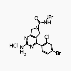 CC(C)NC(=O)N1Cc2nc(N)nc(-c3ccc(Br)cc3Cl)c2C1.Cl